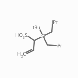 C=C[C]([Si](CC(C)C)(CC(C)C)C(C)(C)C)S(=O)(=O)O